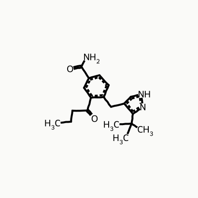 CCCC(=O)c1cc(C(N)=O)ccc1Cc1c[nH]nc1C(C)(C)C